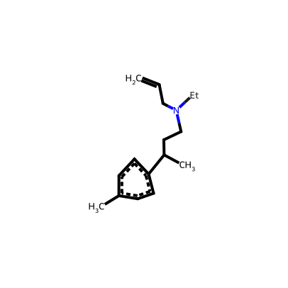 C=CCN(CC)CCC(C)c1ccc(C)cc1